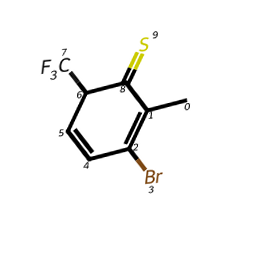 CC1=C(Br)C=CC(C(F)(F)F)C1=S